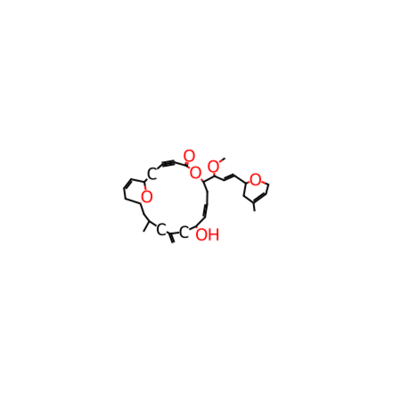 C=C1CC(O)/C=C\CC(C(C=CC2CC(C)=CCO2)OC)OC(=O)C#CCC2C=CCC(CC(C)C1)O2